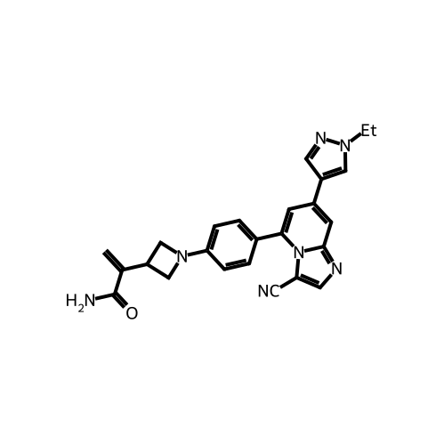 C=C(C(N)=O)C1CN(c2ccc(-c3cc(-c4cnn(CC)c4)cc4ncc(C#N)n34)cc2)C1